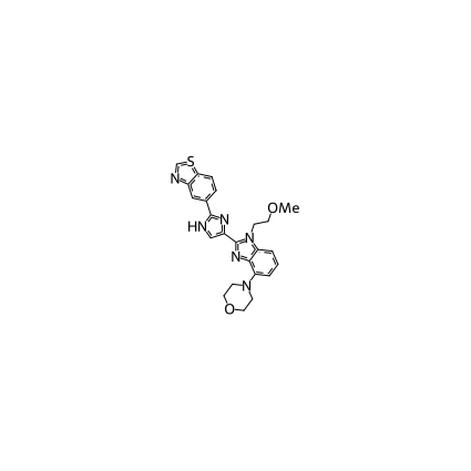 COCCn1c(-c2c[nH]c(-c3ccc4scnc4c3)n2)nc2c(N3CCOCC3)cccc21